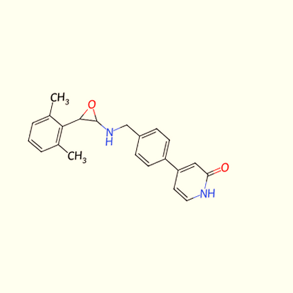 Cc1cccc(C)c1C1OC1NCc1ccc(-c2cc[nH]c(=O)c2)cc1